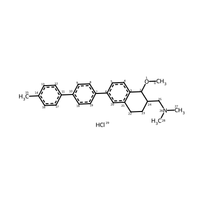 COC1c2ccc(-c3ccc(-c4ccc(C)cc4)cc3)cc2CCC1CN(C)C.Cl